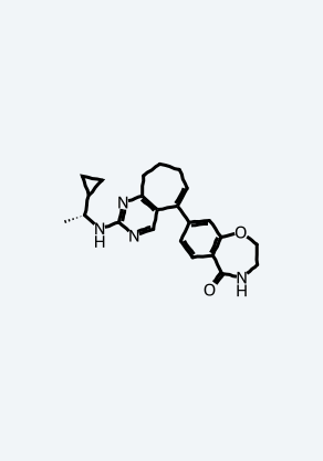 C[C@@H](Nc1ncc2c(n1)CCCC=C2c1ccc2c(c1)OCCNC2=O)C1CC1